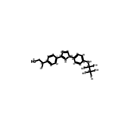 OCC(F)c1ccc(-c2ncn(-c3ccc(OC(F)(F)C(F)(F)F)cc3)n2)cc1